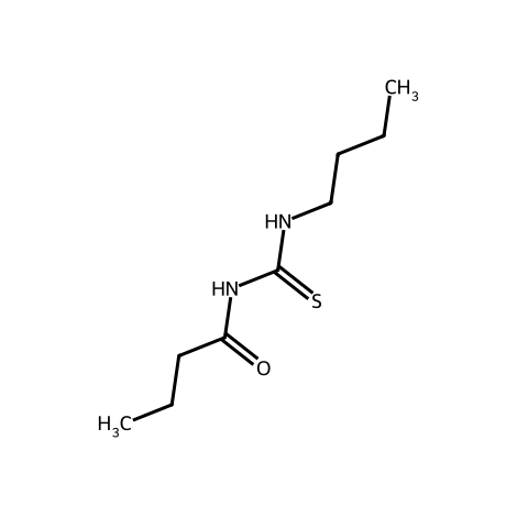 CCCCNC(=S)NC(=O)CCC